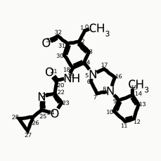 CCc1cc(N2CCN(c3ccccc3C)CC2)c(NC(=O)c2coc(C3CC3)n2)cc1C=O